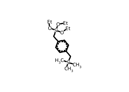 CCO[Si](Cc1ccc(C[Si](C)(C)C)cc1)(OCC)OCC